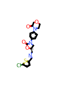 O=C1COCCN1c1ccc(N2C[C@@H](C/N=C/c3ccc(Cl)s3)OC2=O)cc1